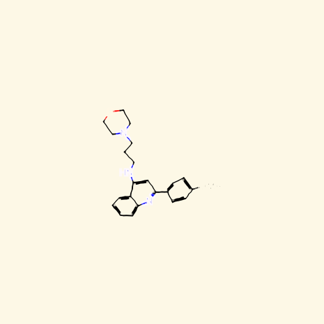 COc1ccc(-c2cc(NCCCN3CCOCC3)c3ccccc3n2)cc1